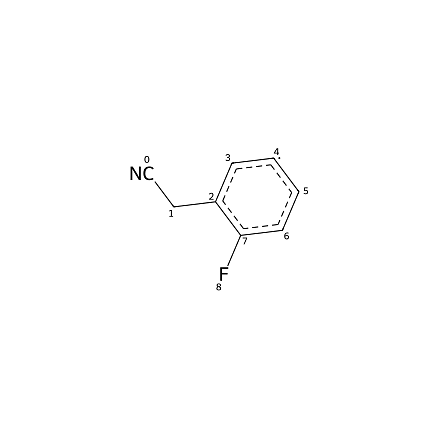 N#CCc1c[c]ccc1F